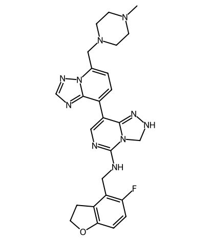 CN1CCN(Cc2ccc(C3=CN=C(NCc4c(F)ccc5c4CCO5)N4CNN=C34)c3ncnn23)CC1